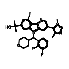 Cc1nnn(C)c1-c1cnc2c3c(F)cc(C(C)(C)O)cc3n(C(c3cccc(F)c3F)C3CCOCC3)c2c1